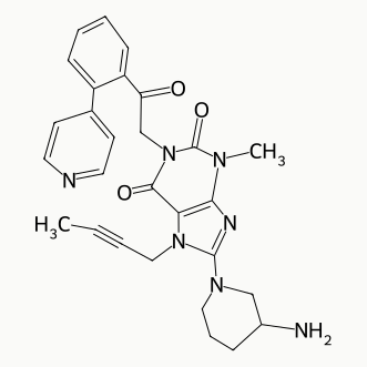 CC#CCn1c(N2CCCC(N)C2)nc2c1c(=O)n(CC(=O)c1ccccc1-c1ccncc1)c(=O)n2C